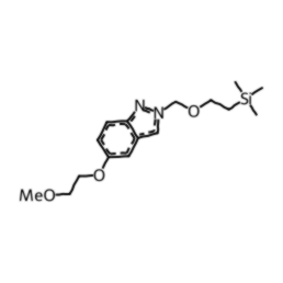 COCCOc1ccc2nn(COCC[Si](C)(C)C)cc2c1